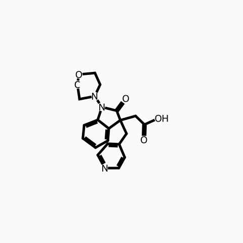 O=C(O)CC1(Cc2ccncc2)C(=O)N(N2CCOCC2)c2ccccc21